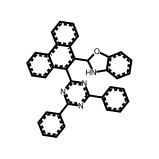 c1ccc(-c2nc(-c3ccccc3)nc(-c3c(C4Nc5ccccc5O4)c4ccccc4c4ccccc34)n2)cc1